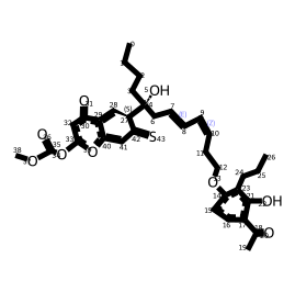 CCCC[C@@](O)(C/C=C/C=C\CCOc1ccc(C(C)=O)c(O)c1CCC)[C@@H]1C=c2c(=O)cc(OC(=O)OC)oc2=CC1=S